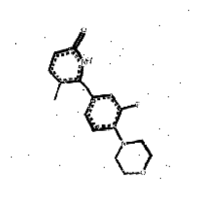 Cc1ccc(=O)[nH]c1-c1ccc(N2CCOCC2)c(F)c1